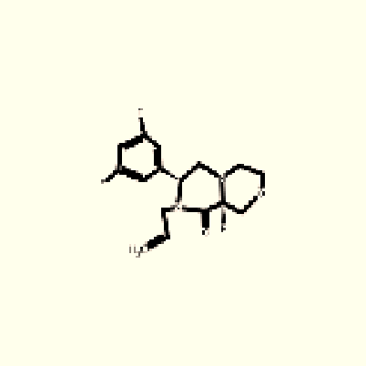 C=CCN1C(=O)[C@H]2COCCN2C[C@@H]1c1cc(F)cc(F)c1